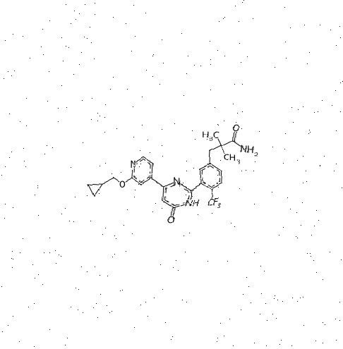 CC(C)(Cc1ccc(C(F)(F)F)c(-c2nc(-c3ccnc(OCC4CC4)c3)cc(=O)[nH]2)c1)C(N)=O